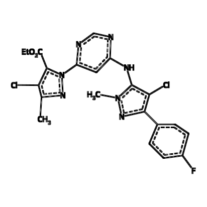 CCOC(=O)c1c(Cl)c(C)nn1-c1cc(Nc2c(Cl)c(-c3ccc(F)cc3)nn2C)ncn1